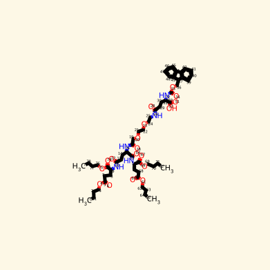 CCCCOC(=O)CCC(NC(=O)CCC(NC(=O)COCCOCCNC(=O)CCC(NC(=O)OCC1c2ccccc2-c2ccccc21)C(=O)O)C(=O)NC(CCC(=O)OCCCC)C(=O)OCCCC)C(=O)OCCCC